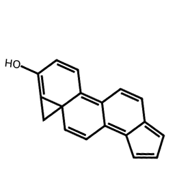 OC1=C2CC23C=Cc2c4c(ccc2=C3C=C1)=CC=C4